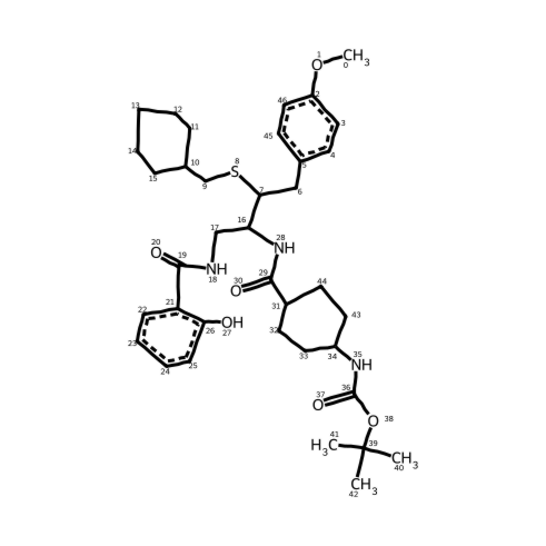 COc1ccc(CC(SCC2CCCCC2)C(CNC(=O)c2ccccc2O)NC(=O)C2CCC(NC(=O)OC(C)(C)C)CC2)cc1